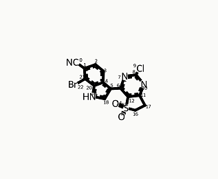 N#Cc1ccc2c(-c3nc(Cl)nc4c3S(=O)(=O)CC4)c[nH]c2c1Br